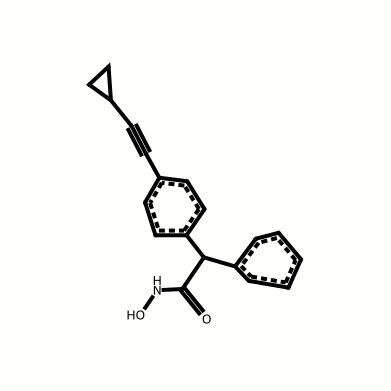 O=C(NO)C(c1ccccc1)c1ccc(C#CC2CC2)cc1